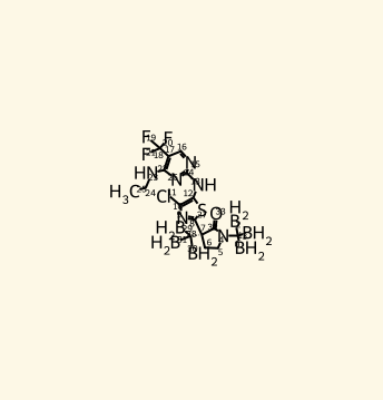 BC(B)(B)N1CC[C@](c2nc(Cl)c(Nc3ncc(C(F)(F)F)c(NCC)n3)s2)(C(B)(B)B)C1=O